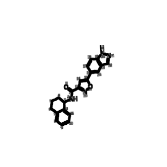 O=C(NC1CCCc2ccccc21)c1cc(-c2ccc3[nH]ncc3c2)on1